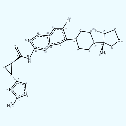 Cn1ccc([C@@H]2C[C@H]2C(=O)Nc2cc3cc(C4CCN([C@@]5(C)COC[C@H]5F)CC4)c(Cl)cc3cn2)n1